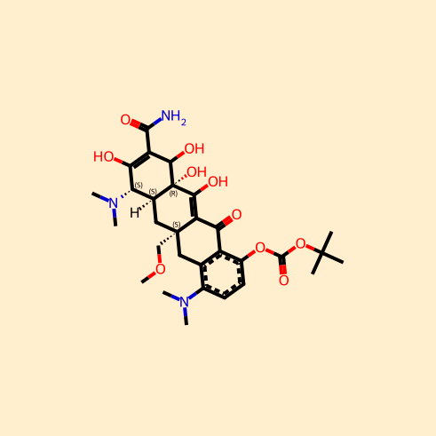 COC[C@@]12Cc3c(N(C)C)ccc(OC(=O)OC(C)(C)C)c3C(=O)C1=C(O)[C@]1(O)C(O)C(C(N)=O)=C(O)[C@@H](N(C)C)[C@@H]1C2